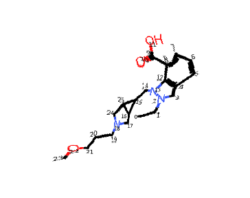 CCN1Cc2cccc(C(=O)O)c2N1CC1C2CN(CCCOC)CC21